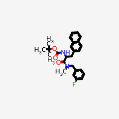 CN(Cc1cccc(F)c1)C(=O)C(Cc1ccc2ccccc2c1)NC(=O)OC(C)(C)C